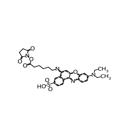 CCN(CC)c1ccc2nc3c4ccc(S(=O)(=O)O)cc4/c(=N\CCCCCC(=O)ON4C(=O)CCC4=O)cc-3oc2c1